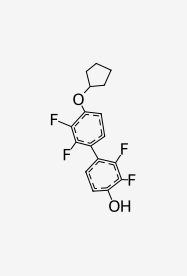 Oc1ccc(-c2ccc(OC3CCCC3)c(F)c2F)c(F)c1F